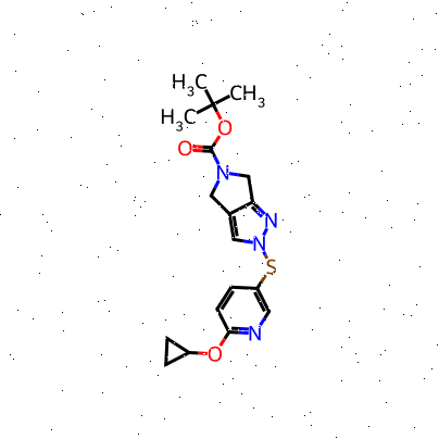 CC(C)(C)OC(=O)N1Cc2cn(Sc3ccc(OC4CC4)nc3)nc2C1